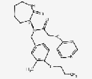 CCCOc1ccc(CN(C(=O)COc2ccncc2)[C@H]2CCCCNC2=O)cc1C